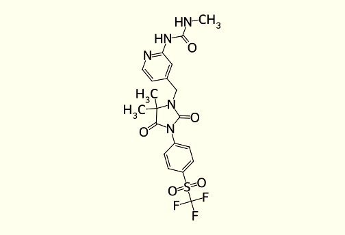 CNC(=O)Nc1cc(CN2C(=O)N(c3ccc(S(=O)(=O)C(F)(F)F)cc3)C(=O)C2(C)C)ccn1